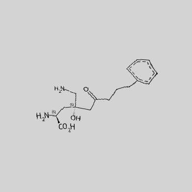 NC[C@@](O)(CC(=O)CCCc1ccccc1)C[C@H](N)C(=O)O